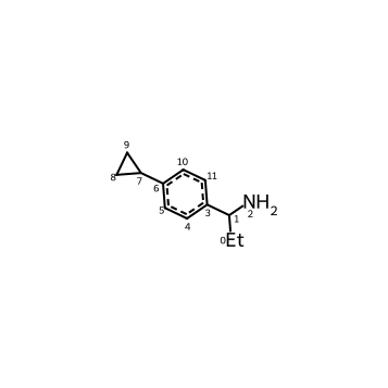 CCC(N)c1ccc(C2CC2)cc1